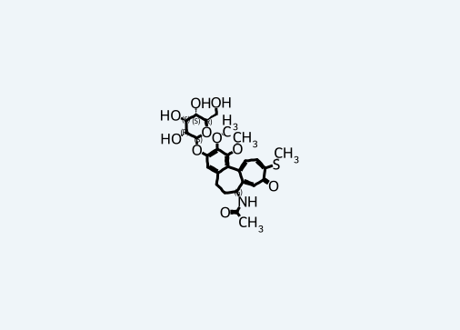 COc1c(O[C@@H]2O[C@H](CO)[C@@H](O)[C@H](O)[C@H]2O)cc2c(c1OC)-c1ccc(SC)c(=O)cc1[C@@H](NC(C)=O)CC2